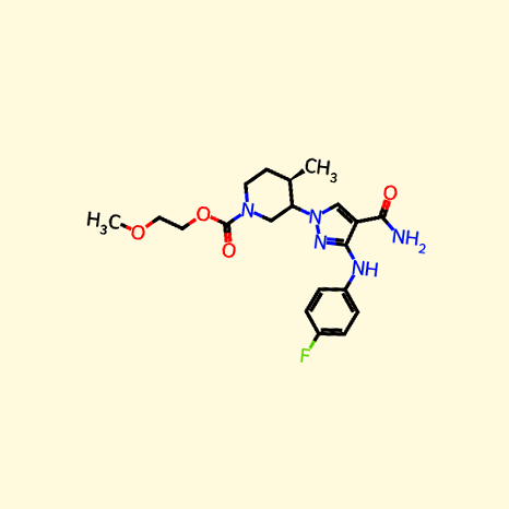 COCCOC(=O)N1CC[C@@H](C)C(n2cc(C(N)=O)c(Nc3ccc(F)cc3)n2)C1